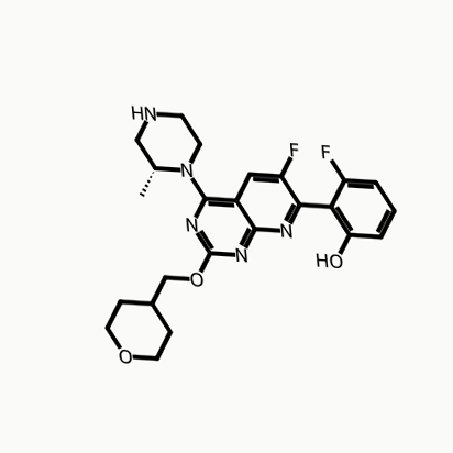 C[C@@H]1CNCCN1c1nc(OCC2CCOCC2)nc2nc(-c3c(O)cccc3F)c(F)cc12